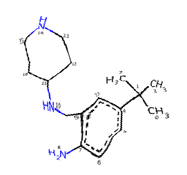 CC(C)(C)c1ccc(N)c(NC2CCNCC2)c1